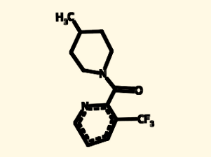 CC1CCN(C(=O)c2ncccc2C(F)(F)F)CC1